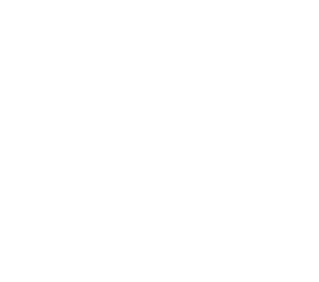 Clc1cccc2c1S2